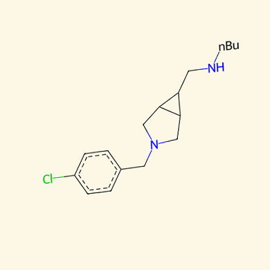 CCCCNCC1C2CN(Cc3ccc(Cl)cc3)CC12